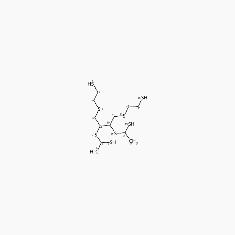 CC(S)SC(CSCCS)C(CSCCS)SC(C)S